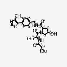 Cc1ncoc1-c1ccc(CNC(=O)C2CC(O)CN2C(=O)C(NC(=O)CC(C)(C)C)C(C)(C)C)cc1